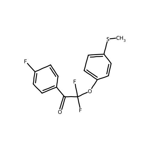 CSc1ccc(OC(F)(F)C(=O)c2ccc(F)cc2)cc1